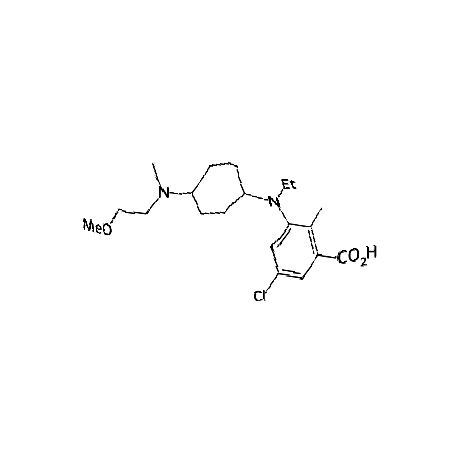 CCN(c1cc(Cl)cc(C(=O)O)c1C)C1CCC(N(C)CCOC)CC1